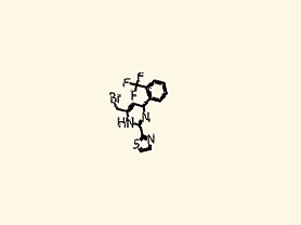 FC(F)(F)c1ccccc1C1C=C(CBr)NC(c2nccs2)=N1